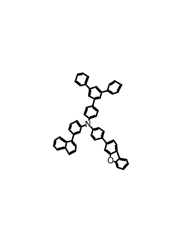 c1ccc(-c2cc(-c3ccccc3)cc(-c3ccc(N(c4ccc(-c5ccc6c(c5)oc5ccccc56)cc4)c4cccc(-c5cccc6ccccc56)c4)cc3)c2)cc1